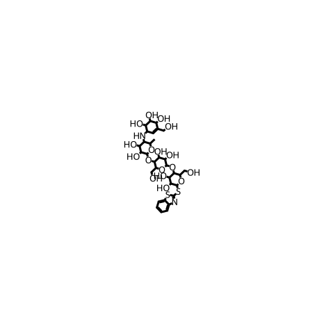 CC1OC(OC2C(CO)OC(OC3C(CO)OC(Sc4nc5ccccc5s4)C(O)C3O)C(O)C2O)C(O)C(O)C1NC1C=C(CO)C(O)C(O)C1O